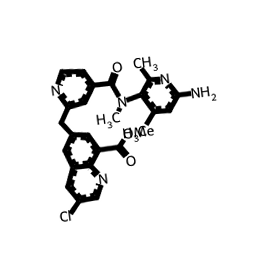 COC(=O)c1cc(Cc2cc(C(=O)N(C)c3c(C)cc(N)nc3C)ccn2)cc2cc(Cl)cnc12